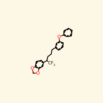 FC(F)(F)C(CCCc1cccc(Oc2ccccc2)c1)c1ccc2c(c1)OCO2